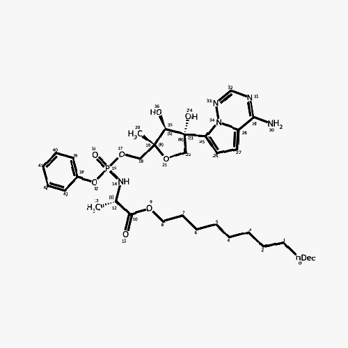 CCCCCCCCCCCCCCCCCCOC(=O)[C@H](C)NP(=O)(OC[C@@]1(C)OC[C@](O)(c2ccc3c(N)ncnn23)[C@@H]1O)Oc1ccccc1